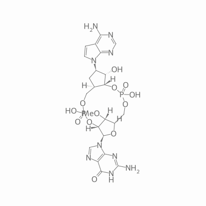 CO[C@H]1[C@H]2OP(=O)(O)OC[C@H]3C[C@@H](n4ccc5c(N)ncnc54)[C@H](O)[C@@H]3OP(=O)(O)OC[C@H]1O[C@H]2n1cnc2c(=O)[nH]c(N)nc21